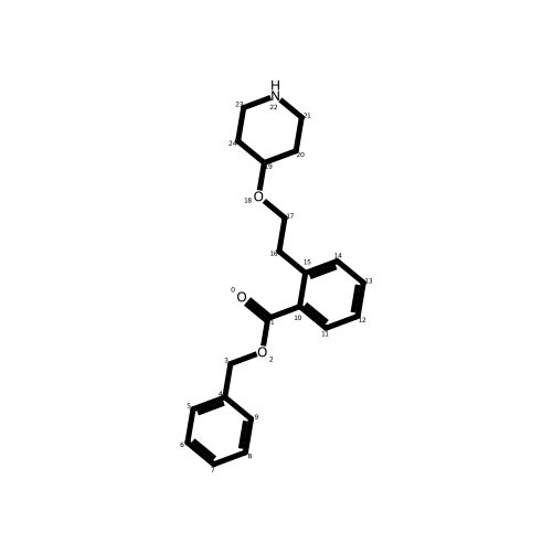 O=C(OCc1ccccc1)c1ccccc1CCOC1CCNCC1